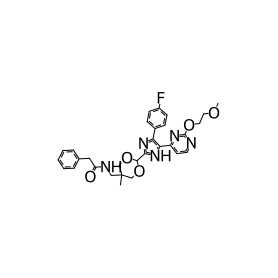 COCCOc1nccc(-c2[nH]c(C3OCC(C)(CNC(=O)Cc4ccccc4)CO3)nc2-c2ccc(F)cc2)n1